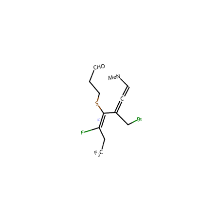 CNC=C=C(CBr)/C(SCCC=O)=C(/F)CC(F)(F)F